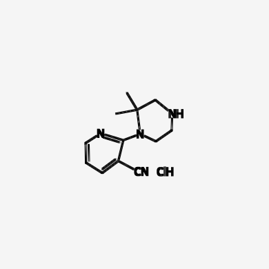 CC1(C)CNCCN1c1ncccc1C#N.Cl